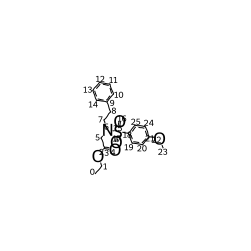 CCOC(=O)CN(CCc1ccccc1)S(=O)(=O)c1ccc(OC)cc1